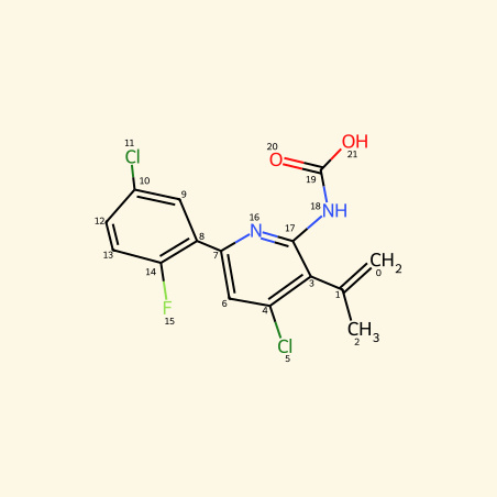 C=C(C)c1c(Cl)cc(-c2cc(Cl)ccc2F)nc1NC(=O)O